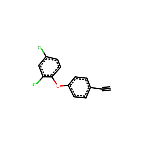 C#Cc1ccc(Oc2ccc(Cl)cc2Cl)cc1